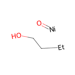 CCCCO.[O]=[Ni]